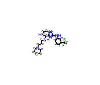 FC(F)(F)c1cccc(Nc2nc3n(n2)C=CNC3NCCCN2CCOCC2)c1